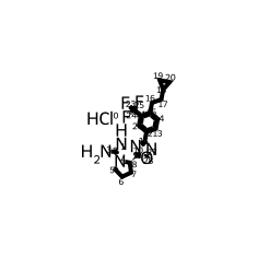 Cl.N=C(N)N1CCC[C@H]1c1nc(-c2ccc(CCC3CC3)c(C(F)(F)F)c2)no1